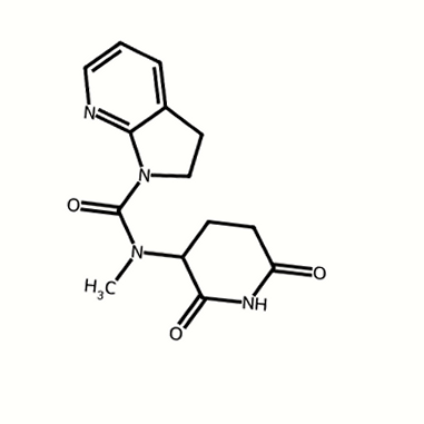 CN(C(=O)N1CCc2cccnc21)C1CCC(=O)NC1=O